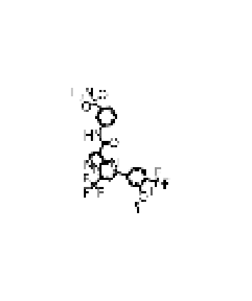 CCOc1cc(-c2cc(C(F)(F)F)n3ncc(C(=O)Nc4cccc(S(N)(=O)=O)c4)c3n2)ccc1C(F)(F)F